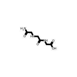 NC(=O)CNCC(=O)NCC(=O)O